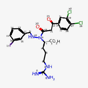 N=C(N)NCCC[C@@H](C(=O)O)N(NCc1cccc(I)c1)C(=O)CC(=O)c1ccc(Cl)c(Cl)c1